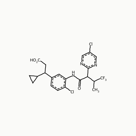 CC(C(C(=O)Nc1cc(C(CC(=O)O)C2CC2)ccc1Cl)c1ncc(Cl)cn1)C(F)(F)F